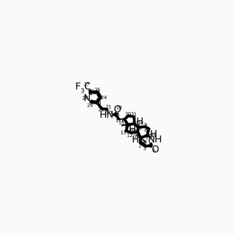 C[C@]12C=CC(=O)N[C@@H]1CC[C@@H]1[C@@H]2CC[C@]2(C)[C@@H](CC(=O)NCCc3ccc(C(F)(F)F)nc3)CC[C@@H]12